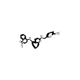 Cc1ccc(CNc2ccc3c(NC4CCS(=O)(=O)c5ccccc54)cccc3n2)o1